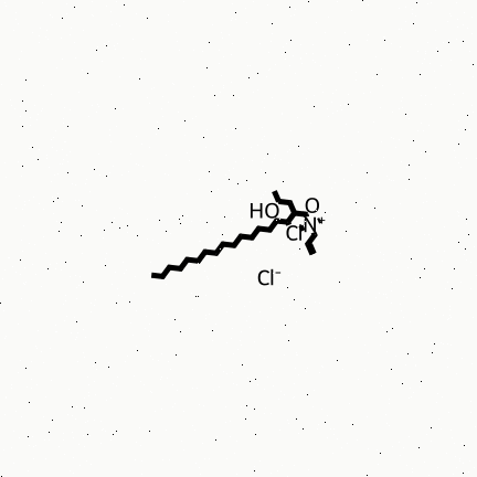 C=CC[N+](C)(C)C(=O)C(CC(C)O)C(Cl)CCCCCCCCCCCCCCC.[Cl-]